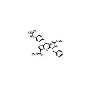 COC(=O)N[C@@H](Cc1ccccc1)C(=O)N[C@@H](Cc1ccc(N[SH](=O)=O)cc1)c1nc(C(=O)OC)cs1